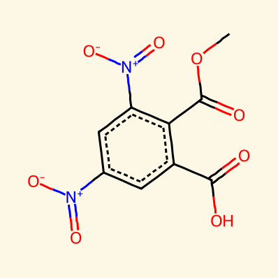 COC(=O)c1c(C(=O)O)cc([N+](=O)[O-])cc1[N+](=O)[O-]